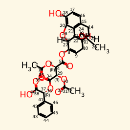 CC(=O)O[C@@H](C(=O)OC1=CC[C@@]2(O)[C@H]3Cc4ccc(O)c5c4[C@@]2(CCC3C)[C@H]1O5)[C@@H](OC(C)=O)C(=O)O[C@@H](C(=O)O)c1ccccc1